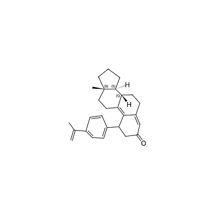 C=C(C)c1ccc(C2CC(=O)C=C3CC[C@@H]4C(=C32)CC[C@]2(C)CCC[C@@H]42)cc1